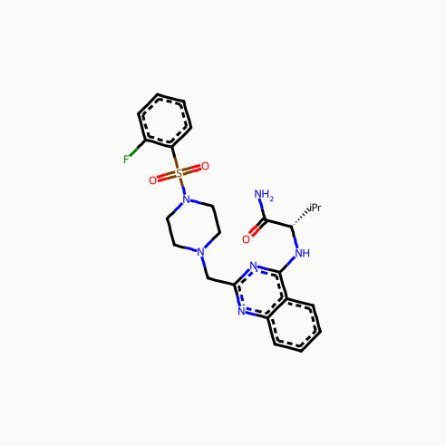 CC(C)[C@H](Nc1nc(CN2CCN(S(=O)(=O)c3ccccc3F)CC2)nc2ccccc12)C(N)=O